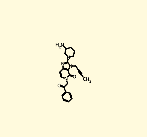 CC#CCn1c(N2CCCC(N)C2)nc2ccn(CC(=O)c3ccccc3)c(=O)c21